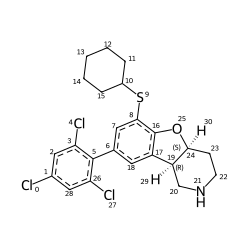 Clc1cc(Cl)c(-c2cc(SC3CCCCC3)c3c(c2)[C@@H]2CNCC[C@@H]2O3)c(Cl)c1